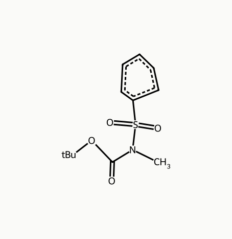 CN(C(=O)OC(C)(C)C)S(=O)(=O)c1ccccc1